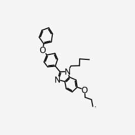 [CH2]CCOc1ccc2nc(-c3ccc(Oc4ccccc4)cc3)n(CCCC)c2c1